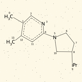 Cc1cnc(N2CCC(C(C)C)C2)cc1C